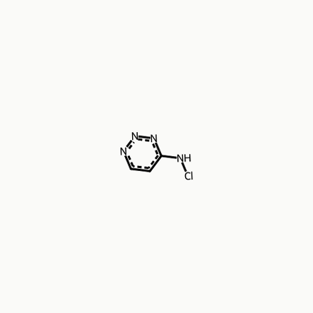 ClNc1ccnnn1